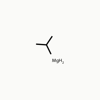 CC(C)C.[MgH2]